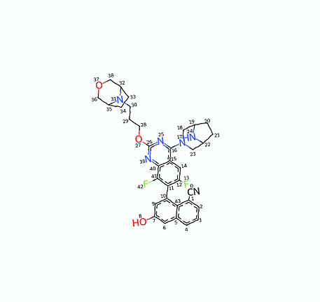 N#Cc1cccc2cc(O)cc(-c3c(F)cc4c(N5CC6CCC(C5)N6)nc(OCCCN5C6CCC5COC6)nc4c3F)c12